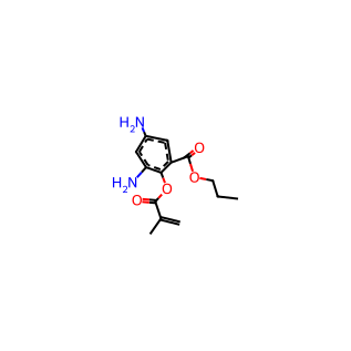 C=C(C)C(=O)Oc1c(N)cc(N)cc1C(=O)OCCC